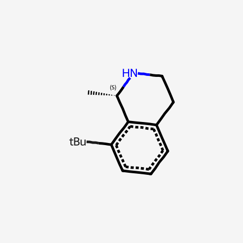 C[C@@H]1NCCc2cccc(C(C)(C)C)c21